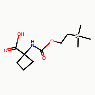 C[Si](C)(C)CCOC(=O)NC1(C(=O)O)CCC1